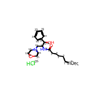 CCCCCCCCCCCCCCCC(=O)NC(CN1CCOCC1)C(O)c1ccccc1.Cl